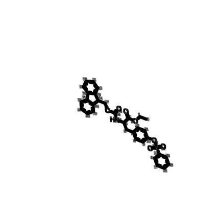 CCOC(=O)C(Cc1ccc(OS(=O)(=O)c2ccccc2)cc1)NC(=O)OCC1c2ccccc2-c2ccccc21